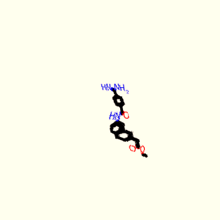 CCOC(=O)CC1CCc2ccc(NC(=O)c3ccc(C(=N)N)cc3)cc2C1